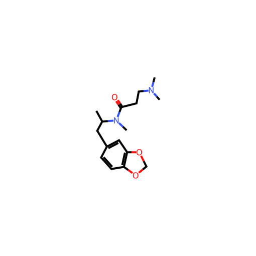 CC(Cc1ccc2c(c1)OCO2)N(C)C(=O)CCN(C)C